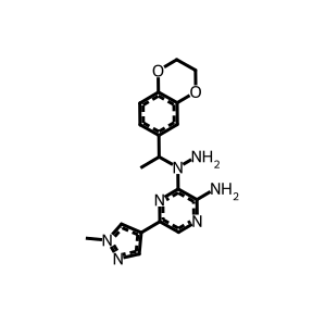 CC(c1ccc2c(c1)OCCO2)N(N)c1nc(-c2cnn(C)c2)cnc1N